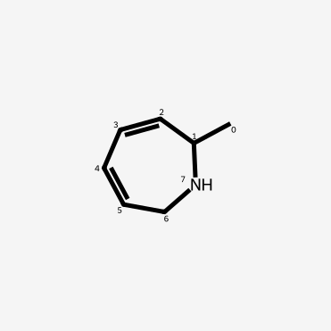 CC1C=CC=CCN1